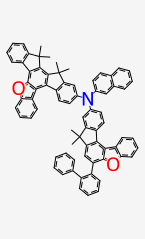 CC1(C)c2cc(N(c3ccc4c(c3)C(C)(C)c3c5c(c6oc7ccccc7c6c3-4)-c3ccccc3C5(C)C)c3ccc4ccccc4c3)ccc2-c2c1cc(-c1ccccc1-c1ccccc1)c1oc3ccccc3c21